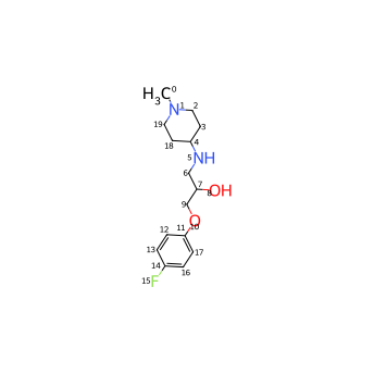 CN1CCC(NCC(O)COc2ccc(F)cc2)CC1